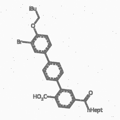 CCCCCCCC(=O)c1ccc(C(=O)O)c(-c2ccc(-c3ccc(OCC(C)CC)c(Br)c3)cc2)c1